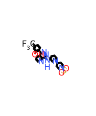 CS(=O)(=O)N1CCC(N2CCC[C@@H](Nc3nnc(-c4ccc(C(F)(F)F)cc4O)c4cccnc34)C2)CC1